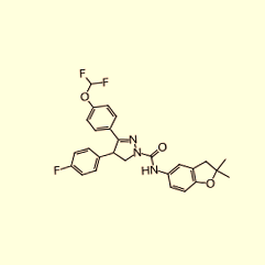 CC1(C)Cc2cc(NC(=O)N3CC(c4ccc(F)cc4)C(c4ccc(OC(F)F)cc4)=N3)ccc2O1